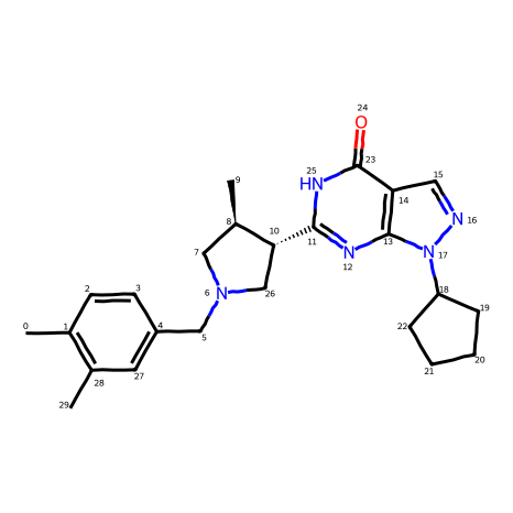 Cc1ccc(CN2C[C@@H](C)[C@H](c3nc4c(cnn4C4CCCC4)c(=O)[nH]3)C2)cc1C